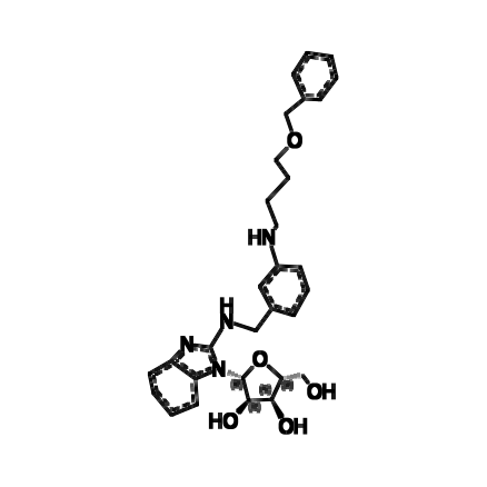 OC[C@H]1O[C@@H](n2c(NCc3cccc(NCCCCOCc4ccccc4)c3)nc3ccccc32)[C@H](O)[C@@H]1O